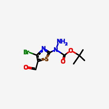 CC(C)(C)OC(=O)N(N)c1nc(Br)c(C=O)s1